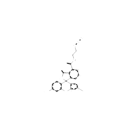 [N-]=[N+]=NCCNC(=O)c1cccc2c1C(=O)OC21c2ccc(O)cc2Oc2cc(O)ccc21